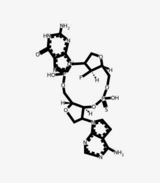 Nc1nc2c(ncn2[C@@]23CO[C@H](COP(O)(=S)O[C@H]4C(n5ccc6c(N)ncnc65)CO[C@@H]4COP(O)(=S)O2)[C@H]3F)c(=O)[nH]1